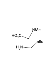 CCCCCN.CNCC(=O)O